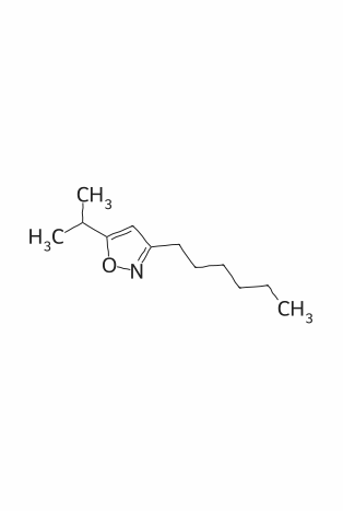 CCCCCCc1cc(C(C)C)on1